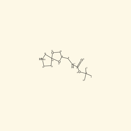 CC(C)(C)OC(=O)NCC1COC2(CCNC2)O1